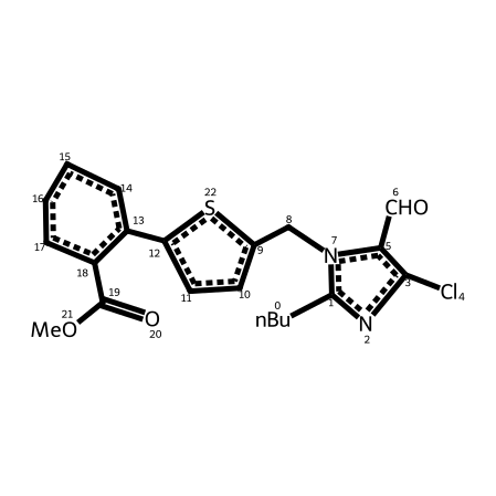 CCCCc1nc(Cl)c(C=O)n1Cc1ccc(-c2ccccc2C(=O)OC)s1